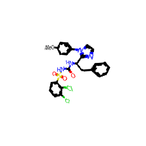 COc1ccc(-n2ccnc2C(Cc2ccccc2)NC(=O)NS(=O)(=O)c2cccc(Cl)c2Cl)cc1